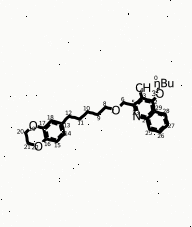 CCCCOc1c(C)c(COCCCCCc2ccc3c(c2)OCCO3)nc2ccccc12